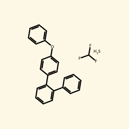 FC(F)F.S.c1ccc(Oc2ccc(-c3ccccc3-c3ccccc3)cc2)cc1